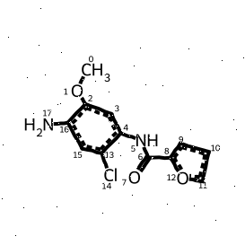 COc1cc(NC(=O)c2ccco2)c(Cl)cc1N